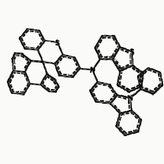 c1ccc(-n2c3ccccc3c3ccc(N(c4ccc5c(c4)Sc4ccccc4C54c5ccccc5-c5cccc6cccc4c56)c4cccc5sc6ccccc6c45)cc32)cc1